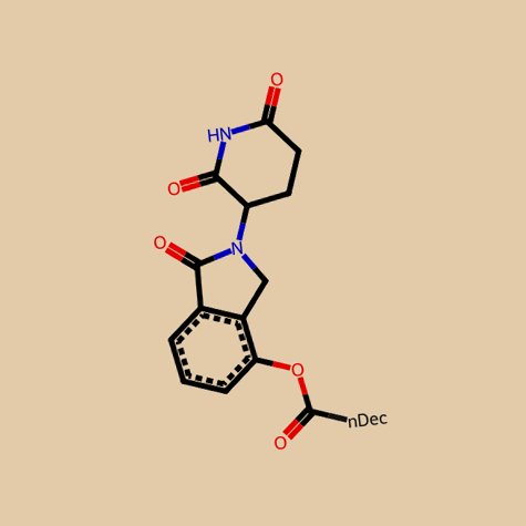 CCCCCCCCCCC(=O)Oc1cccc2c1CN(C1CCC(=O)NC1=O)C2=O